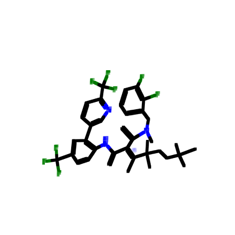 C=C(Nc1ccc(C(F)(F)F)cc1-c1ccc(C(F)(F)F)nc1)/C(C(=C)N(C)Cc1cccc(F)c1F)=C(\C)C(C)(C)CCC(C)(C)C